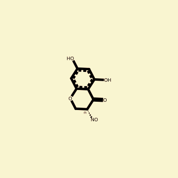 O=N[C@@H]1COc2cc(O)cc(O)c2C1=O